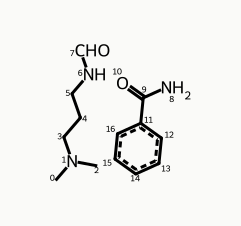 CN(C)CCCNC=O.NC(=O)c1ccccc1